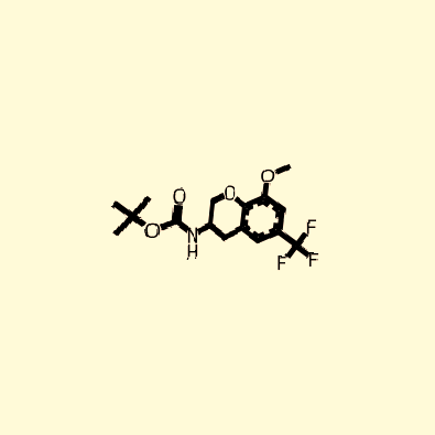 COc1cc(C(F)(F)F)cc2c1OCC(NC(=O)OC(C)(C)C)C2